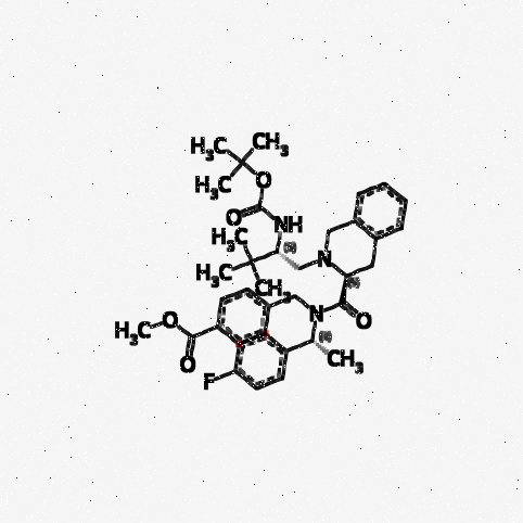 COC(=O)c1ccc(CN(C(=O)[C@@H]2Cc3ccccc3CN2C[C@@H](NC(=O)OC(C)(C)C)C(C)(C)C)[C@H](C)c2ccc(F)cc2)cc1